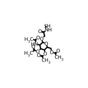 CC(=O)NC1C(OCC(=O)NS)OC(COC(C)=O)C(OC(C)=O)C1OC(C)=O